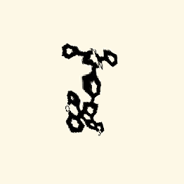 c1ccc(-c2cc(-c3ccc(-c4ccc5c(c4)C4(c6ccccc6Oc6ccccc64)c4ccc6sccc6c4-5)cc3)nc(-c3ccccc3)n2)cc1